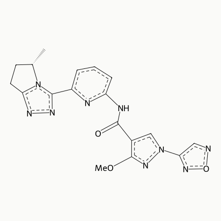 COc1nn(-c2cnon2)cc1C(=O)Nc1cccc(-c2nnc3n2[C@@H](C)CC3)n1